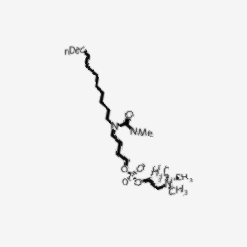 CCCCCCCCCCCCCCCCCCN(CCCCOP(=O)([O-])OCC[N+](C)(C)C)C(=O)NC